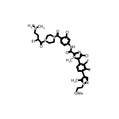 CCC(CCN(C)C)C(=O)N1CCN(C(=O)c2ccc(NC(=O)c3nc(Cl)c(-c4ccc(-c5cnn(CCOC)c5C)c(F)c4F)n3C)cc2Cl)CC1